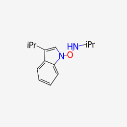 CC(C)NOn1cc(C(C)C)c2ccccc21